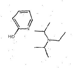 CCN(C(C)C)C(C)C.Oc1ccccn1